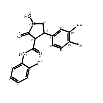 O=C(Nc1ccccc1F)C1C(=O)N(O)CC1c1ccc(F)c(F)c1